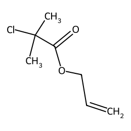 C=CCOC(=O)C(C)(C)Cl